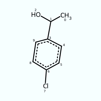 CC(O)c1ccc(Cl)cc1